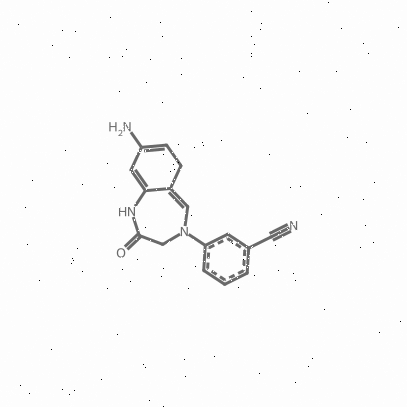 N#Cc1cccc(N2C=C3CC=C(N)C=C3NC(=O)C2)c1